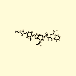 C/C=C(/C)c1ccccc1CCNC(=O)c1cc(C2CC2)n2nc(-c3ccc(N4CC(O)C4)cc3F)cc2n1